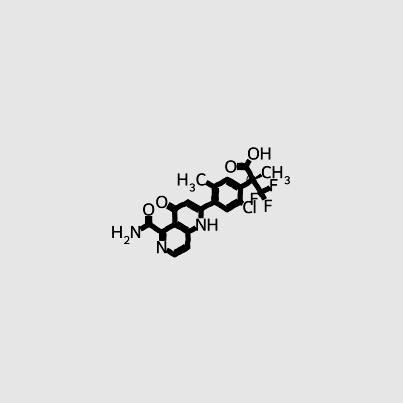 Cc1cc([C@](C)(C(=O)O)C(F)(F)F)c(Cl)cc1-c1cc(=O)c2c(C(N)=O)nccc2[nH]1